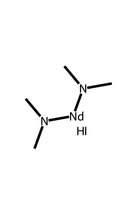 C[N](C)[Nd][N](C)C.I